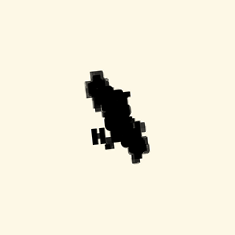 Bc1c(-c2oc3cc(C)ccc3c2I)sc2c1oc1c2oc2c(Br)c(-c3oc4cc(C)ccc4c3I)sc21